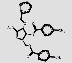 CC(=O)OC1S[C@H](COC(=O)c2ccc(C)cc2)[C@H](OC(=O)c2ccc(C)cc2)[C@H]1OCc1ccccc1